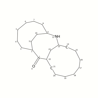 O=C1C2CCCCCCC(CC2)NC2CCCCCCCCC1C2